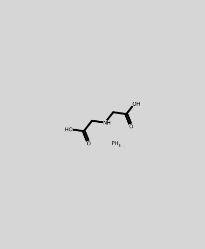 O=C(O)CNCC(=O)O.P